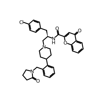 O=C(N[C@H](Cc1ccc(Cl)cc1)CN1CCC(c2ccccc2CN2CCCC2=O)CC1)c1cc(=O)c2ccccc2o1